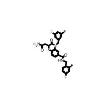 NC(=O)CC1Sc2ccc(C(=O)NCc3ccc(F)cc3F)cc2N(Cc2cc(F)cc(F)c2)C1=O